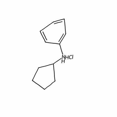 Cl.c1ccc(NC2CCCC2)cc1